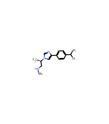 CCC(c1ccc(-c2cn([C@@H](CNC(C)(C)C)C(F)(F)F)cn2)cc1)C(C)C